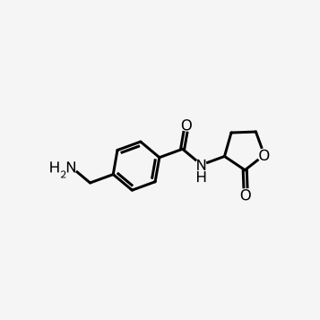 NCc1ccc(C(=O)NC2CCOC2=O)cc1